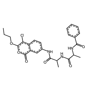 CCCOc1oc(=O)c2cc(NC(=O)C(C)NC(=O)C(C)NC(=O)c3ccccc3)ccc2c1Cl